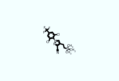 C[Si](C)(C)CCc1cn(-c2c(Cl)cc(C(F)(F)F)cc2Cl)nc1C#N